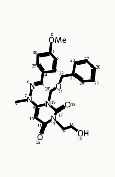 COc1ccc(C=NN(C)c2cc(=O)n(CCO)c(=O)n2COCc2ccccc2)cc1